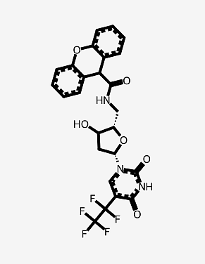 O=C(NC[C@@H]1O[C@H](n2cc(C(F)(F)C(F)(F)F)c(=O)[nH]c2=O)CC1O)C1c2ccccc2Oc2ccccc21